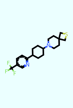 FC(F)(F)c1ccc(C2CCC(N3CCC4(CC3)CSC4)CC2)nc1